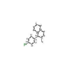 Cc1ccc2ccccc2c1-c1ccc(F)cc1